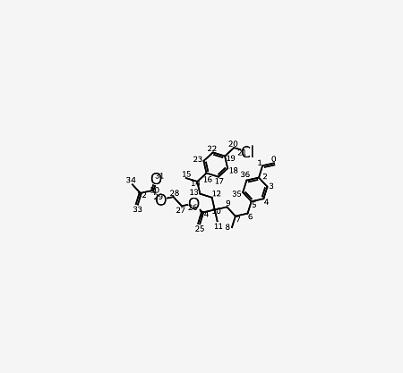 C=Cc1ccc(CC(C)CC(C)(CCC(C)c2ccc(CCl)cc2)C(=C)OCCOC(=O)C(=C)C)cc1